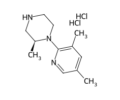 Cc1cnc(N2CCNC[C@@H]2C)c(C)c1.Cl.Cl